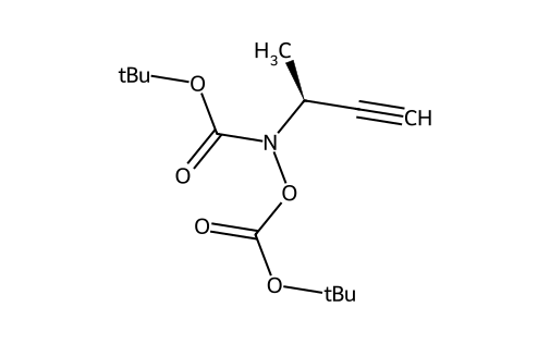 C#C[C@H](C)N(OC(=O)OC(C)(C)C)C(=O)OC(C)(C)C